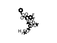 CC(C)(C)OC(=O)N1CC(C(C)(C)O[SiH2]C(C)(C)C)C[C@H]1COc1c(F)c(F)cc2c(=O)c(C(=O)OCc3ccccc3)cn(C3CC3)c12